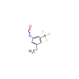 CCc1cc(N=C=O)cc(C(F)(F)F)c1